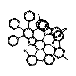 Cc1ccc2c(c1)c1cc(C)ccc1n2-c1c(-c2ccccc2)c(-c2c(C#N)cccc2C#N)c2oc3c(-c4ccccc4)c(-c4ccccc4)c(-c4ccccc4)c(-c4ccccc4)c3c2c1-n1c2ccc(C)cc2c2cc(C)ccc21